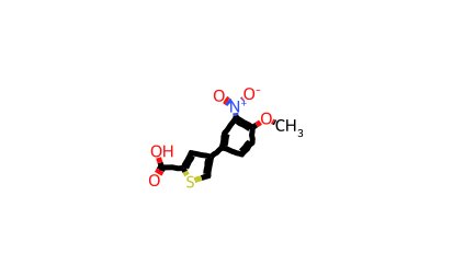 COc1ccc(-c2csc(C(=O)O)c2)cc1[N+](=O)[O-]